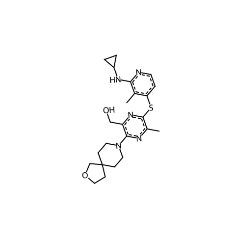 Cc1nc(N2CCC3(CCOC3)CC2)c(CO)nc1Sc1ccnc(NC2CC2)c1C